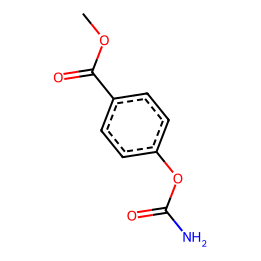 COC(=O)c1ccc(OC(N)=O)cc1